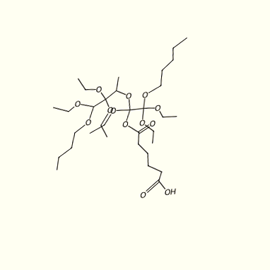 CCCCCOC(OCC)(OCC)C(OCC)(OC(=O)CCCCC(=O)O)OC(C)C(OCC)(OCC)C(OCC)OCCCC